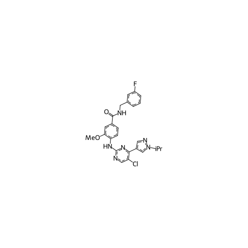 COc1cc(C(=O)NCc2cccc(F)c2)ccc1Nc1ncc(Cl)c(-c2cnn(C(C)C)c2)n1